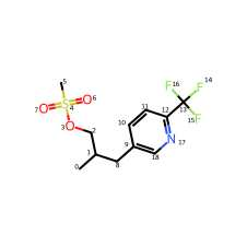 CC(COS(C)(=O)=O)Cc1ccc(C(F)(F)F)nc1